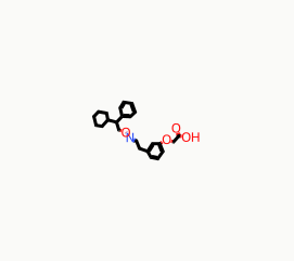 O=C(O)COc1cccc(CC=NOCC(c2ccccc2)C2CCCCC2)c1